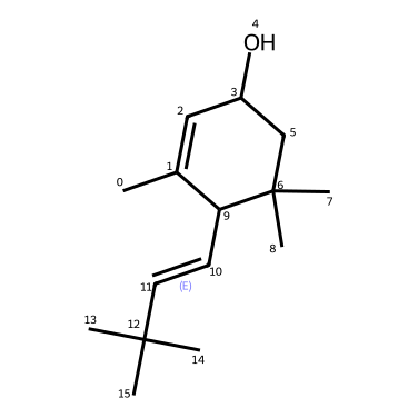 CC1=CC(O)CC(C)(C)C1/C=C/C(C)(C)C